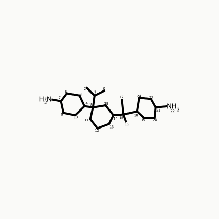 CC(C)C1(C2CCC(N)CC2)CCCC(C(C)(C)C2CCC(N)CC2)C1